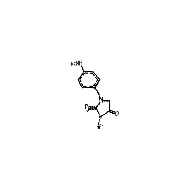 CCCN1C(=O)CN(c2ccc(NC(C)=O)cc2)C1=O